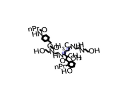 C=C(C(=O)c1c(O)ccc(O)c1CCC)/C(=C\C=C(/C)NCCNCCO)NCCN(CCO)C(=O)OCc1ccc(NC(=O)CCC)cc1